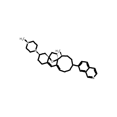 C[C@H]1CCC(c2ccc3ccncc3c2)CC/C=C2/C=C3CC[C@@H](N4CCN(C)CC4)C[C@]34CC[C@@]21O4